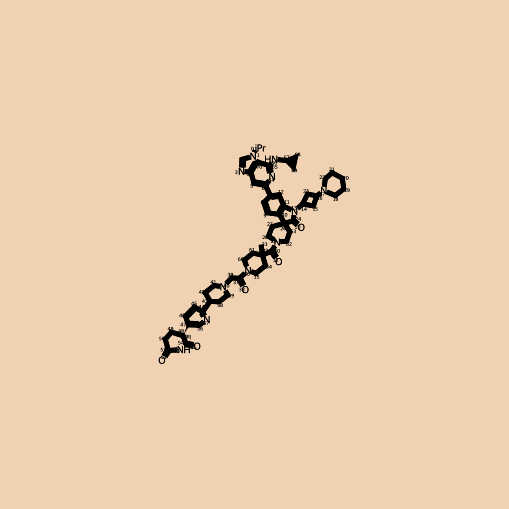 CC(C)n1cnc2cc(-c3ccc4c(c3)N(C3CC(N5CCCCC5)C3)C(=O)C43CCN(C(=O)C4(C)CCN(C(=O)CN5CCC(c6ccc([C@H]7CCC(=O)NC7=O)cn6)CC5)CC4)CC3)nc(NC3CC3)c21